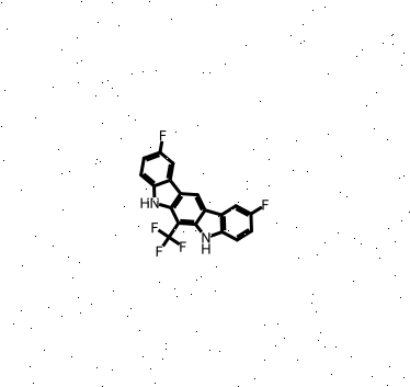 Fc1ccc2[nH]c3c(C(F)(F)F)c4[nH]c5ccc(F)cc5c4cc3c2c1